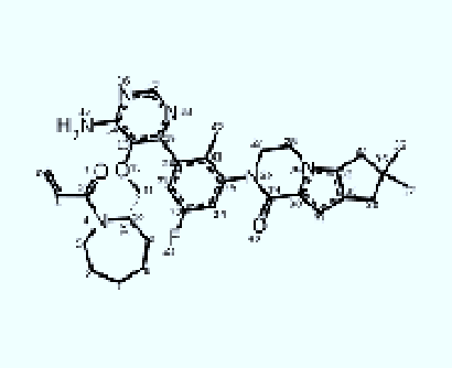 C=CC(=O)N1CCCCC[C@H]1COc1c(N)ncnc1-c1cc(F)cc(N2CCn3c(cc4c3CC(C)(C)C4)C2=O)c1C